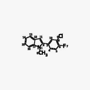 Cn1c(-c2ccc(F)c(Cl)c2)cc2ccccc21